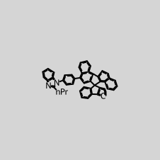 CCCc1nc2ccccc2n1-c1ccc(-c2cc3c(c4ccccc24)-c2ccc4ccccc4c2C32c3ccccc3-c3ccccc32)cc1